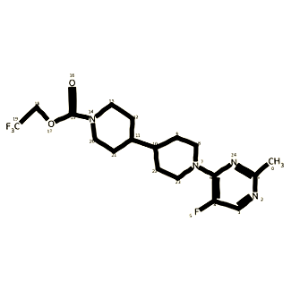 Cc1ncc(F)c(N2CCC(C3CCN(C(=O)OCC(F)(F)F)CC3)CC2)n1